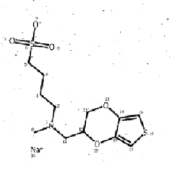 CN(CCCCS(=O)(=O)[O-])CC1COc2cscc2O1.[Na+]